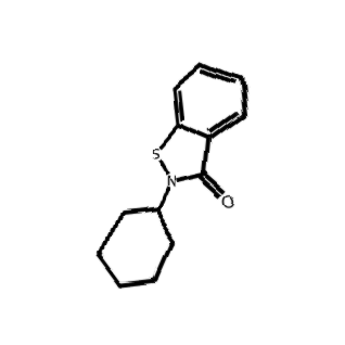 O=c1c2ccccc2sn1C1CCCCC1